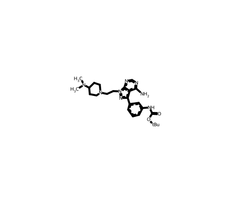 CN(C)C1CCN(CCn2nc(-c3cccc(NC(=O)OC(C)(C)C)c3)c3c(N)ncnc32)CC1